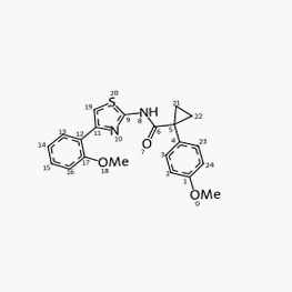 COc1ccc(C2(C(=O)Nc3nc(-c4ccccc4OC)cs3)CC2)cc1